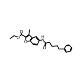 CCOC(=O)c1oc2ccc(NC(=O)CCCCc3ccccc3)cc2c1C